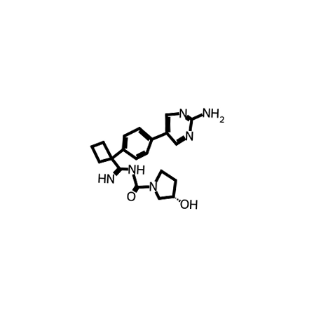 N=C(NC(=O)N1CC[C@H](O)C1)C1(c2ccc(-c3cnc(N)nc3)cc2)CCC1